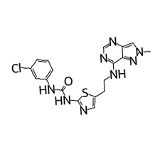 Cn1cc2ncnc(NCCc3cnc(NC(=O)Nc4cccc(Cl)c4)s3)c2n1